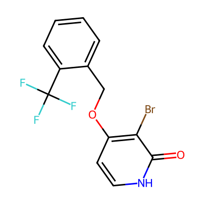 O=c1[nH]ccc(OCc2ccccc2C(F)(F)F)c1Br